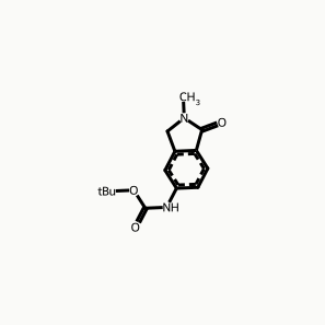 CN1Cc2cc(NC(=O)OC(C)(C)C)ccc2C1=O